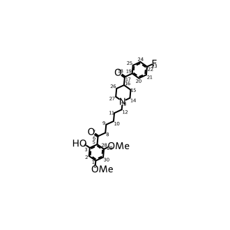 COc1cc(O)c(C(=O)CCCCCN2CCC(C(=O)c3ccc(F)cc3)CC2)c(OC)c1